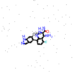 COc1cc2[nH]ncc2cc1-c1ccc(F)c2c(N)c(C(N)=O)nnc12